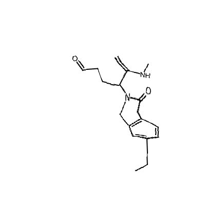 C=C(NC)C(CCC=O)N1Cc2cc(CC)ccc2C1=O